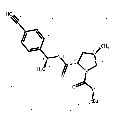 C#Cc1ccc([C@H](C)NC(=O)[C@@H]2C[C@@H](C)CN2C(=O)OC(C)(C)C)cc1